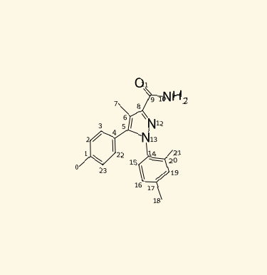 Cc1ccc(-c2c(C)c(C(N)=O)nn2-c2ccc(C)cc2C)cc1